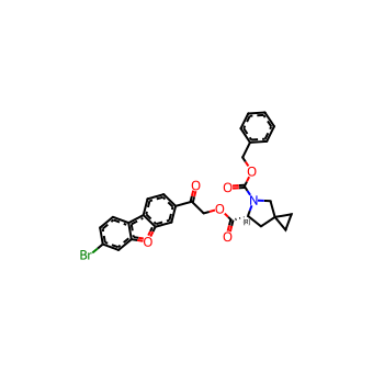 O=C(COC(=O)[C@H]1CC2(CC2)CN1C(=O)OCc1ccccc1)c1ccc2c(c1)oc1cc(Br)ccc12